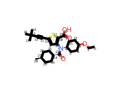 CCO[C@H]1CC[C@H](N(c2cc(C#CC(C)(C)C)sc2C(=O)O)C(=O)[C@H]2CC[C@H](C)CC2)CC1